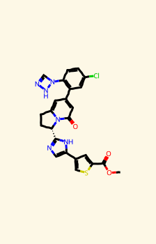 COC(=O)c1cc(-c2cnc([C@@H]3CCc4cc(-c5cc(Cl)ccc5-n5cn[nH]5)cc(=O)n43)[nH]2)cs1